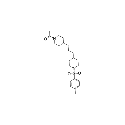 CC(=O)N1CCC(CCCC2CCN(S(=O)(=O)c3ccc(C)cc3)CC2)CC1